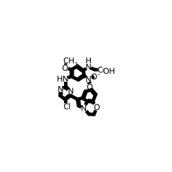 COc1cc(NCCO)c([N+](=O)[O-])cc1Nc1ncc(Cl)c(-c2cn3c4c(cccc24)OCC3)n1